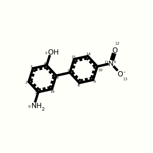 Nc1ccc(O)c(-c2ccc([N+](=O)[O-])cc2)c1